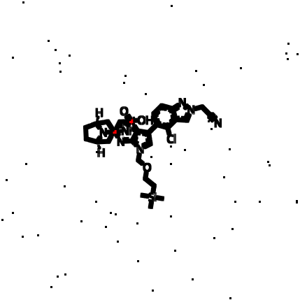 C[Si](C)(C)CCOCn1cc(-c2ccc3nn(CC#N)cc3c2Cl)c2ncc(N3[C@@H]4CC[C@H]3C[C@@H](NC(=O)O)C4)nc21